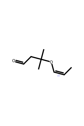 C/C=C\OC(C)(C)CC=O